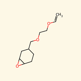 C=COCCOCC1CCC2OC2C1